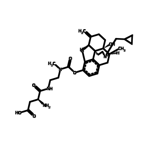 C=C1CC[C@@]2(O)[C@H]3Cc4ccc(OC(=O)N(C)CCNC(=O)[C@@H](N)CC(=O)O)c5c4[C@@]2(CC[N+]3(C)CC2CC2)[C@H]1O5